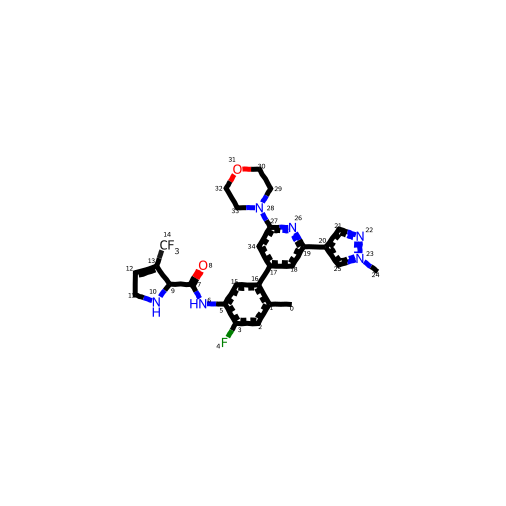 Cc1cc(F)c(NC(=O)C2NCC=C2C(F)(F)F)cc1-c1cc(-c2cnn(C)c2)nc(N2CCOCC2)c1